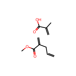 C=C(C)C(=O)O.C=CCC(=C)C(=O)OC